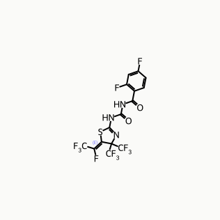 O=C(NC(=O)c1ccc(F)cc1F)NC1=NC(C(F)(F)F)(C(F)(F)F)/C(=C(\F)C(F)(F)F)S1